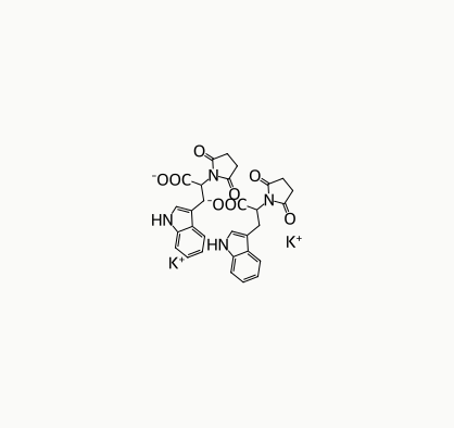 O=C([O-])C(Cc1c[nH]c2ccccc12)N1C(=O)CCC1=O.O=C([O-])C(Cc1c[nH]c2ccccc12)N1C(=O)CCC1=O.[K+].[K+]